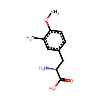 COc1ccc(C[C@H](N)C(=O)O)cc1C